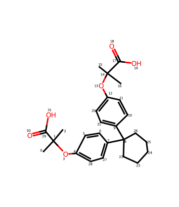 CC(C)(Oc1ccc(C2(c3ccc(OC(C)(C)C(=O)O)cc3)CCCCC2)cc1)C(=O)O